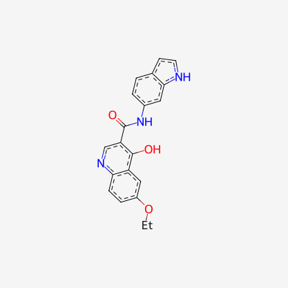 CCOc1ccc2ncc(C(=O)Nc3ccc4cc[nH]c4c3)c(O)c2c1